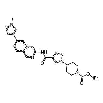 CC(C)OC(=O)N1CCC(n2cc(C(=O)Nc3cc4cc(-c5cnn(C)c5)ccc4cn3)cn2)CC1